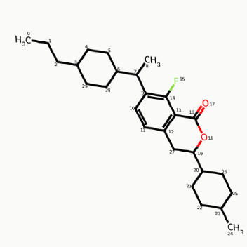 CCCC1CCC(C(C)c2ccc3c(c2F)C(=O)OC(C2CCC(C)CC2)C3)CC1